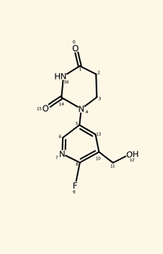 O=C1CCN(c2cnc(F)c(CO)c2)C(=O)N1